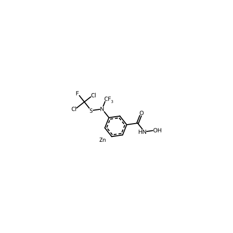 O=C(NO)c1cccc(N(SC(F)(Cl)Cl)C(F)(F)F)c1.[Zn]